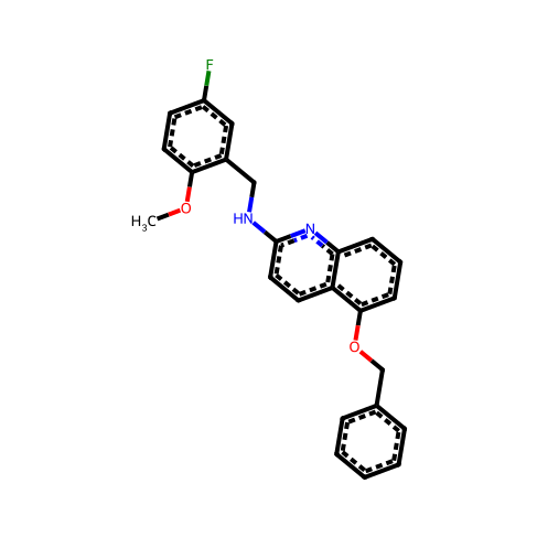 COc1ccc(F)cc1CNc1ccc2c(OCc3ccccc3)cccc2n1